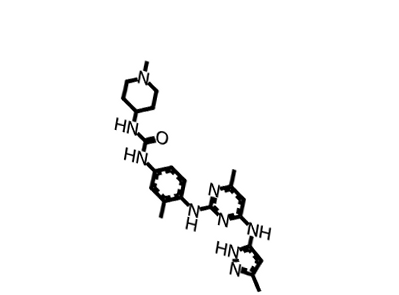 Cc1cc(Nc2cc(C)nc(Nc3ccc(NC(=O)NC4CCN(C)CC4)cc3C)n2)[nH]n1